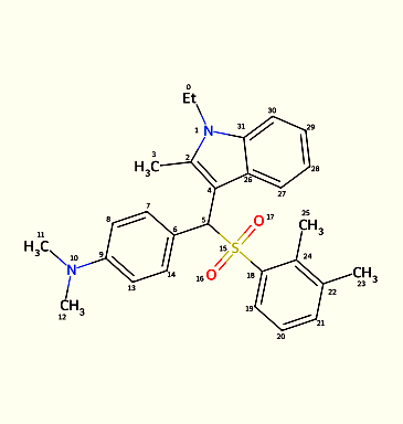 CCn1c(C)c(C(c2ccc(N(C)C)cc2)S(=O)(=O)c2cccc(C)c2C)c2ccccc21